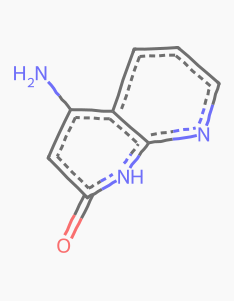 Nc1cc(=O)[nH]c2ncccc12